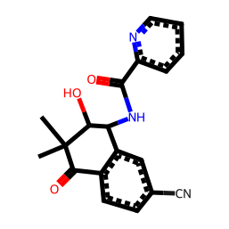 CC1(C)C(=O)c2ccc(C#N)cc2C(NC(=O)c2ccccn2)C1O